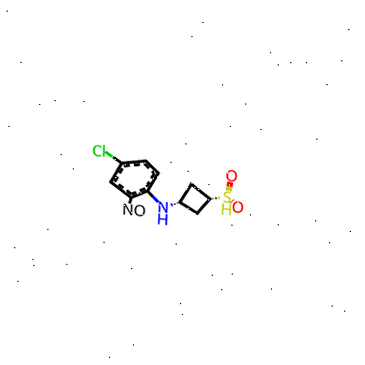 O=Nc1cc(Cl)ccc1N[C@H]1C[C@@H]([SH](=O)=O)C1